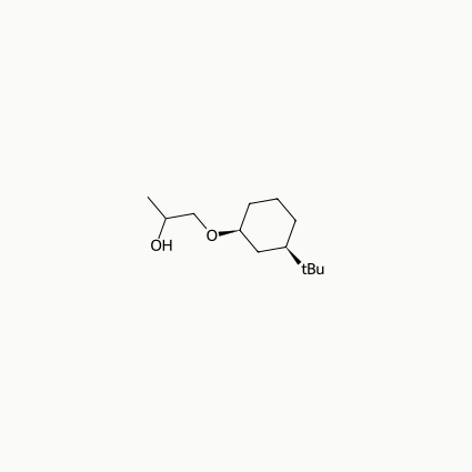 CC(O)CO[C@H]1CCC[C@@H](C(C)(C)C)C1